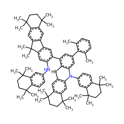 Cc1cccc(C)c1-c1cc(-c2cc3c(cc2Nc2ccc4c(c2)C(C)(C)CCC4(C)C)C(C)(C)c2cc4c(cc2-3)C(C)(C)CCC4(C)C)c2c(c1)N(c1ccc3c(c1)C(C)(C)CCC3(C)C)c1cc3c(cc1B2)C(C)(C)CCC3(C)C